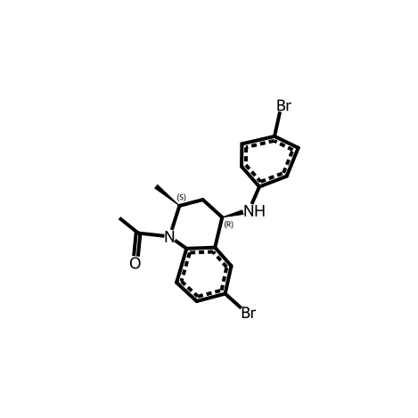 CC(=O)N1c2ccc(Br)cc2[C@H](Nc2ccc(Br)cc2)C[C@@H]1C